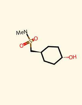 CNS(=O)(=O)C[C@H]1CC[C@H](O)CC1